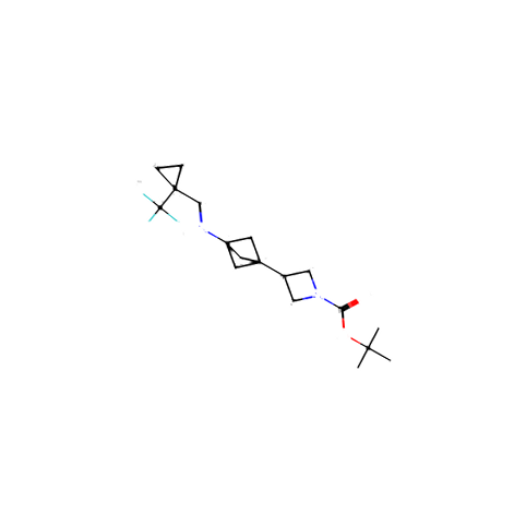 CC(C)(C)OC(=O)N1CC(C23CC(NCC4(C(F)(F)F)CC4)(C2)C3)C1